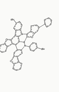 CC(C)(C)c1ccc(N2B3c4oc5cc(-c6ccccc6)ccc5c4-n4c5ccc(C(C)(C)C)cc5c5c6oc7ccccc7c6c(c3c54)-c3cc4oc5ccccc5c4cc32)cc1